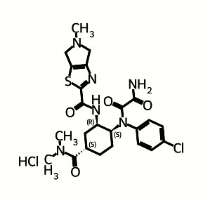 CN1Cc2nc(C(=O)N[C@@H]3C[C@@H](C(=O)N(C)C)CC[C@@H]3N(C(=O)C(N)=O)c3ccc(Cl)cc3)sc2C1.Cl